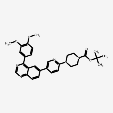 COc1ccc(-c2ncnc3ccc(-c4ccc(N5CCN(C(=O)OC(C)(C)C)CC5)nc4)cc23)cc1OC